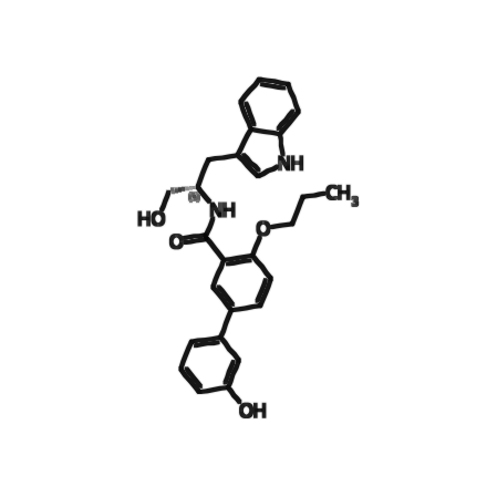 CCCOc1ccc(-c2cccc(O)c2)cc1C(=O)N[C@H](CO)Cc1c[nH]c2ccccc12